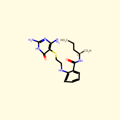 Nc1nc(N)c(SCCNc2ccccc2C(=O)N[C@@H](CCC(=O)O)C(=O)O)c(=O)[nH]1